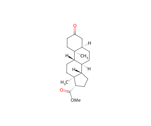 COC(=O)[C@H]1CC[C@H]2[C@@H]3CC[C@@H]4CC(=O)CC[C@]4(C)[C@H]3CC[C@]12C